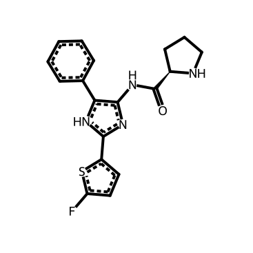 O=C(Nc1nc(-c2ccc(F)s2)[nH]c1-c1ccccc1)[C@H]1CCCN1